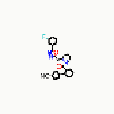 N#Cc1ccc(-c2ccccc2C(=O)N2CCCCC2Cc2nnc(-c3cccc(F)c3)o2)cc1